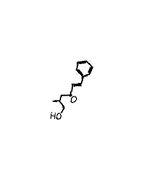 CC(CO)CC(=O)/C=C/c1ccccc1